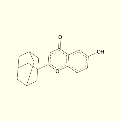 O=c1cc(C23CC4CC(CC(C4)C2)C3)oc2ccc(O)cc12